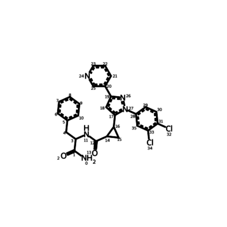 NC(=O)C(Cc1ccccc1)NC(=O)C1CC1c1cc(-c2cccnc2)nn1-c1ccc(Cl)c(Cl)c1